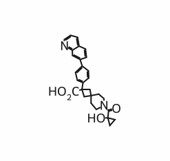 O=C(N1CCC2(CC1)CC(C(=O)O)(c1ccc(-c3ccc4cccnc4c3)cc1)C2)C1(O)CC1